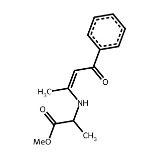 COC(=O)C(C)NC(C)=CC(=O)c1ccccc1